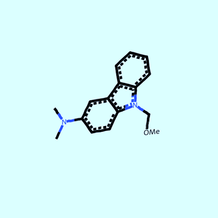 COCn1c2ccccc2c2cc(N(C)C)ccc21